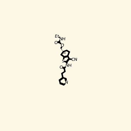 CCNC(=O)OC[C@@H]1CCc2c(sc(NC(=O)CCc3cccnc3)c2C#N)C1